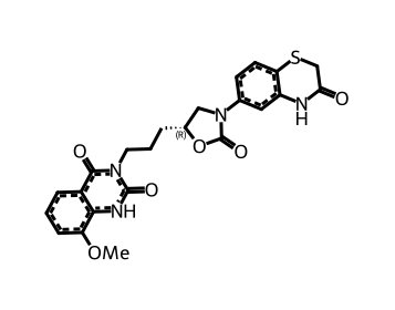 COc1cccc2c(=O)n(CCC[C@@H]3CN(c4ccc5c(c4)NC(=O)CS5)C(=O)O3)c(=O)[nH]c12